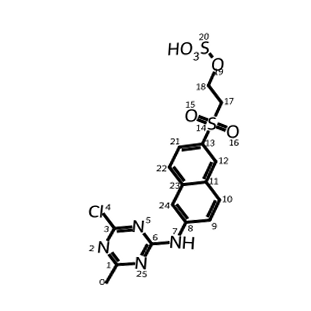 Cc1nc(Cl)nc(Nc2ccc3cc(S(=O)(=O)CCOS(=O)(=O)O)ccc3c2)n1